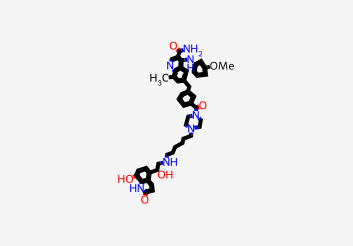 COc1cccc(Nc2c(C(N)=O)cnc3c(C)cc(Cc4cccc(C(=O)N5CCN(CCCCCCNC[C@H](O)c6ccc(O)c7[nH]c(=O)ccc67)CC5)c4)cc23)c1